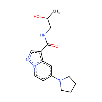 CC(O)CNC(=O)c1cnn2ccc(N3CCCC3)cc12